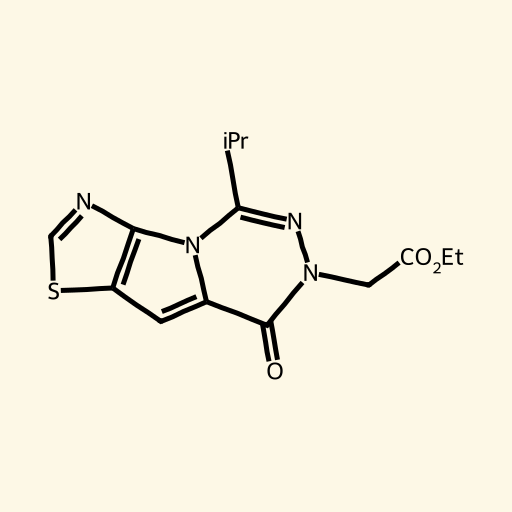 CCOC(=O)Cn1nc(C(C)C)n2c(cc3scnc32)c1=O